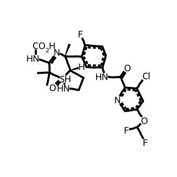 CC1(C)C(NC(=O)O)=N[C@](C)(c2cc(NC(=O)c3ncc(OC(F)F)cc3Cl)ccc2F)[C@@H]2CCN[SH]21=O